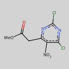 COC(=O)Cc1nc(Cl)nc(Cl)c1[N+](=O)[O-]